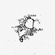 CNN(C)Cc1cc2ccccc2n1CCC(=O)NCC(=O)N(C)[C@@H](C)C(=O)O[C@H]1CC(=O)N(C)c2cc(cc(OC)c2Cl)C/C(C)=C/C=C/[C@@H](OC)[C@@]2(O)C[C@H](OC(=O)N2)[C@@H](C)C2O[C@]21C